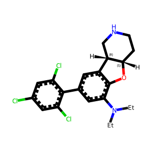 CCN(CC)c1cc(-c2c(Cl)cc(Cl)cc2Cl)cc2c1O[C@H]1CCNC[C@@H]21